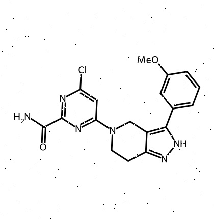 COc1cccc(-c2[nH]nc3c2CN(c2cc(Cl)nc(C(N)=O)n2)CC3)c1